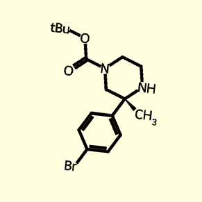 CC(C)(C)OC(=O)N1CCN[C@](C)(c2ccc(Br)cc2)C1